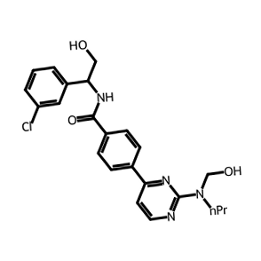 CCCN(CO)c1nccc(-c2ccc(C(=O)NC(CO)c3cccc(Cl)c3)cc2)n1